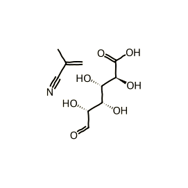 C=C(C)C#N.O=C[C@H](O)[C@@H](O)[C@H](O)[C@H](O)C(=O)O